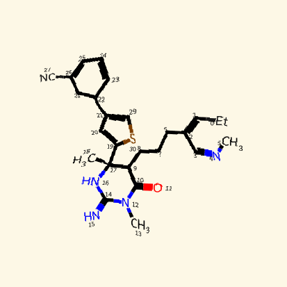 CC/C=C(\C=N/C)CCCC1C(=O)N(C)C(=N)N[C@]1(C)c1cc(C2C=CC=C(C#N)C2)cs1